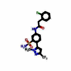 Cn1nc(C(F)(F)F)cc1-c1ccc(NC(=O)Cc2ccccc2F)cc1S(N)(=O)=O